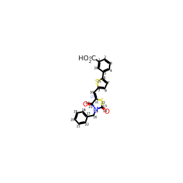 O=C(O)c1cccc(-c2ccc(/C=C3\SC(=O)N(Cc4ccccc4)C3=O)s2)c1